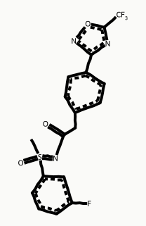 CS(=O)(=NC(=O)Cc1ccc(-c2noc(C(F)(F)F)n2)cc1)c1cccc(F)c1